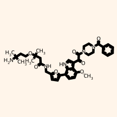 COc1ccc(-c2ccc(CNC(=O)CC(C)(C)OCCC(C)(C)N)o2)c2[nH]cc(C(=O)C(=O)N3CCN(C(=O)c4ccccc4)CC3)c12